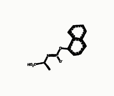 CC(/N=[P+](\[O-])Oc1cccc2ccccc12)C(=O)O